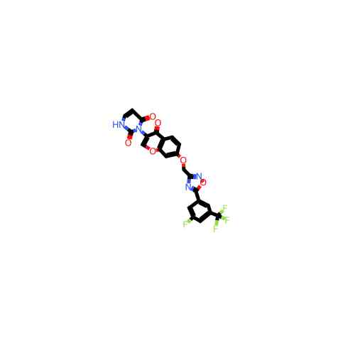 O=c1c(-n2c(=O)cc[nH]c2=O)coc2cc(OCc3noc(-c4cc(F)cc(C(F)(F)F)c4)n3)ccc12